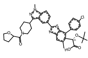 Cc1cc2nc(-c3ccc4c(c3)c(C3CCN(C(=O)C5CCCO5)CC3)nn4C)sc2c(-c2ccc(Cl)cc2)c1[C@H](OC(C)(C)C)C(=O)O